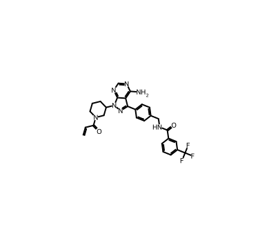 C=CC(=O)N1CCCC(n2nc(-c3ccc(CNC(=O)c4cccc(C(F)(F)F)c4)cc3)c3c(N)ncnc32)C1